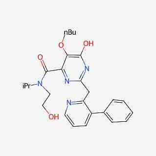 CCCCOc1c(O)nc(Cc2ncccc2-c2ccccc2)nc1C(=O)N(CCO)C(C)C